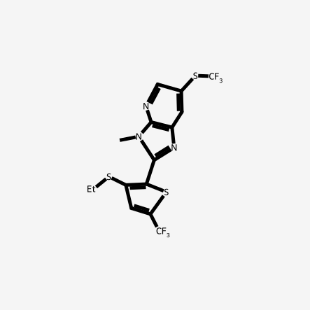 CCSc1cc(C(F)(F)F)sc1-c1nc2cc(SC(F)(F)F)cnc2n1C